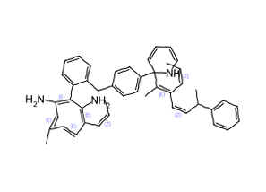 C\C=C/C(/C=C\C(C)c1ccccc1)=C(/C)C1(c2ccc(Cc3ccccc3C3=C(N)/C=C(C)/C=C/C(/C=C\C)=C\3N)cc2)C=CC=CN1